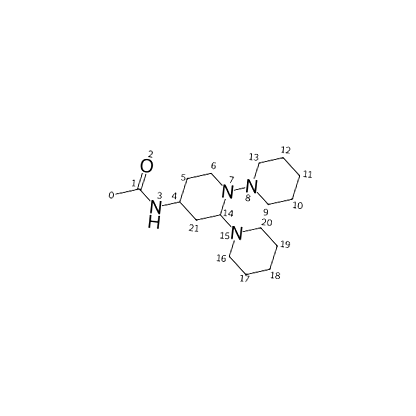 CC(=O)NC1CCN(N2CCCCC2)C(N2CCCCC2)C1